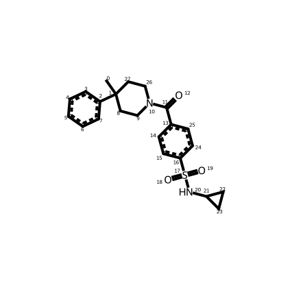 CC1(c2ccccc2)CCN(C(=O)c2ccc(S(=O)(=O)NC3CC3)cc2)CC1